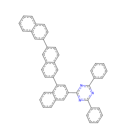 c1ccc(-c2nc(-c3ccccc3)nc(-c3cc(-c4ccc5cc(-c6ccc7ccccc7c6)ccc5c4)c4ccccc4c3)n2)cc1